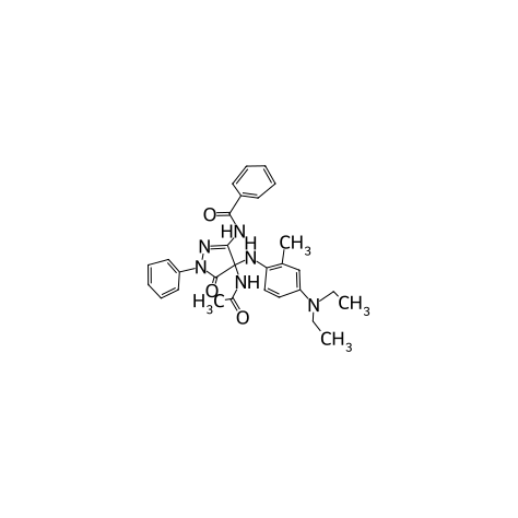 CCN(CC)c1ccc(NC2(NC(C)=O)C(=O)N(c3ccccc3)N=C2NC(=O)c2ccccc2)c(C)c1